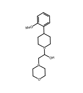 COc1ccccc1C1CCN(C(O)CN2CCOCC2)CC1